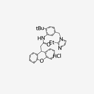 CCc1nccn1Cc1ccc(C(C)(C)C)c(NC(=O)CC2c3ccccc3Oc3ccccc32)c1.Cl